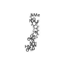 CNCc1nc2cc3c(c(F)c2o1)CC(CN1CCC2(CC1)CN(c1cnc4c(n1)NC(=O)CO4)C(=O)O2)C3